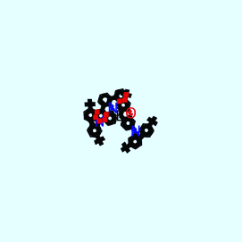 CC(C)(C)c1cc2c3c(c1)N(C1=C(c4ccccc4)CCC=C1c1ccccc1)c1cc(-n4c5cc(C(C)(C)C)ccc5c5ccc(C(C)(C)C)cc54)ccc1B3c1ccc(-n3c4cc(C(C)(C)C)ccc4c4ccc(C(C)(C)C)cc43)cc1O2